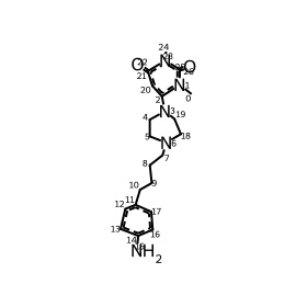 Cn1c(N2CCN(CCCCc3ccc(N)cc3)CC2)cc(=O)n(C)c1=O